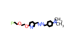 CN(C)c1ccc(/C=N/N=C/c2ccc(OCCOCCF)nc2)cc1